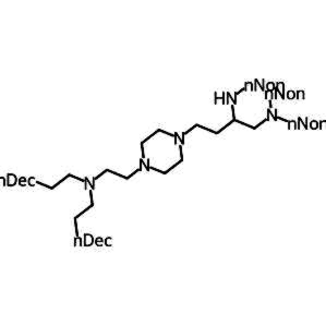 CCCCCCCCCCCCN(CCCCCCCCCCCC)CCN1CCN(CCC(CN(CCCCCCCCC)CCCCCCCCC)NCCCCCCCCC)CC1